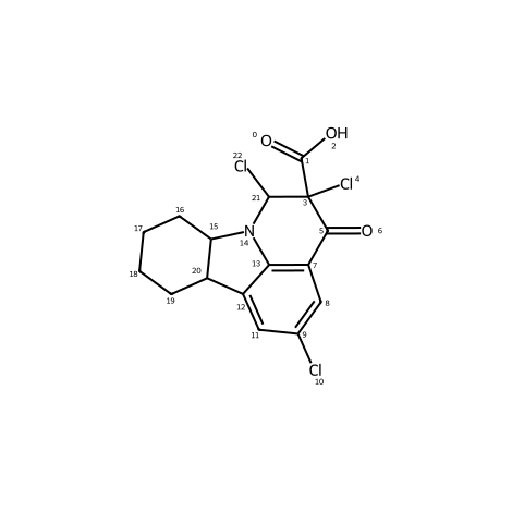 O=C(O)C1(Cl)C(=O)c2cc(Cl)cc3c2N(C2CCCCC32)C1Cl